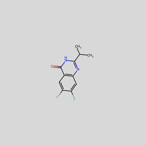 CC(C)c1nc2cc(F)c(F)cc2c(=O)[nH]1